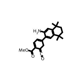 COC(=O)C1=CC=C(c2cc3c(cc2N)C(C)(C)CCC3(C)C)CC1=C=O